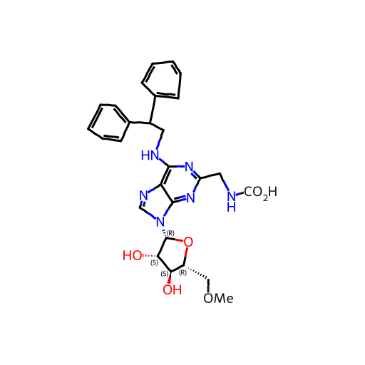 COC[C@H]1O[C@@H](n2cnc3c(NCC(c4ccccc4)c4ccccc4)nc(CNC(=O)O)nc32)[C@@H](O)[C@@H]1O